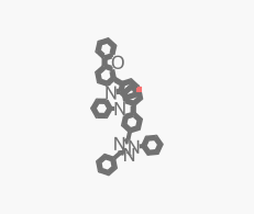 c1ccc(-c2nc(-c3ccc4c5ccccc5n(-c5ccccc5-n5c6ccccc6c6c7oc8ccccc8c7ccc65)c4c3)n(-c3ccccc3)n2)cc1